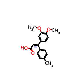 COc1ccc(/C(=C/C(=O)O)c2ccc(C)cc2)cc1OC